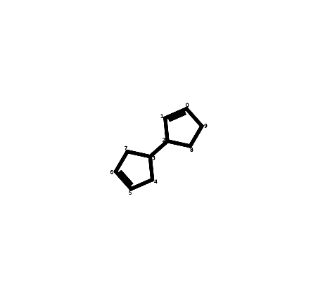 C1=CC(C2CC=CC2)CC1